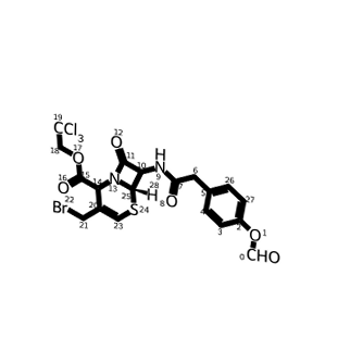 O=COc1ccc(CC(=O)NC2C(=O)N3C(C(=O)OCC(Cl)(Cl)Cl)C(CBr)=CS[C@@H]23)cc1